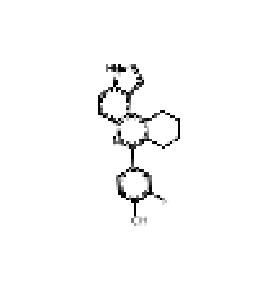 Oc1ccc(-c2nc3ccc4[nH]ccc4c3c3c2CCCC3)cc1F